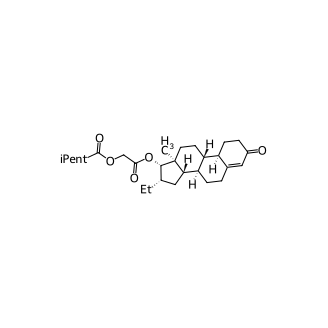 CCCC(C)C(=O)OCC(=O)O[C@H]1[C@@H](CC)C[C@H]2[C@@H]3CCC4=CC(=O)CC[C@@H]4[C@H]3CC[C@@]21C